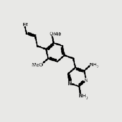 CCC=CCc1c(OC)cc(Cc2cnc(N)nc2N)cc1OC